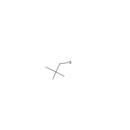 CC(C)(C)C[S]